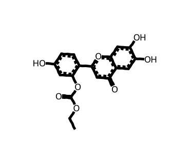 CCOC(=O)Oc1cc(O)ccc1-c1cc(=O)c2cc(O)c(O)cc2o1